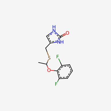 CC(Oc1c(F)cccc1F)SCc1c[nH]c(=O)[nH]1